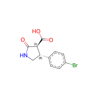 O=C(O)[C@@H]1C(=O)NC[C@H]1c1ccc(Br)cc1